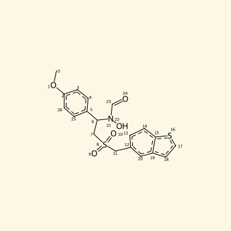 COc1ccc(C(CS(=O)(=O)Cc2ccc3sccc3c2)N(O)C=O)cc1